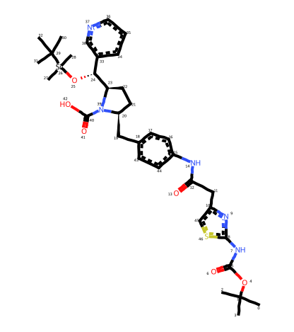 CC(C)(C)OC(=O)Nc1nc(CC(=O)Nc2ccc(C[C@@H]3CC[C@H]([C@H](O[Si](C)(C)C(C)(C)C)c4cccnc4)N3C(=O)O)cc2)cs1